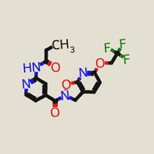 CCC(=O)Nc1cc(C(=O)N2Cc3ccc(OCC(F)(F)F)nc3O2)ccn1